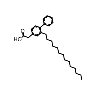 CCCCCCCCCCCCCCc1cc(CC(=O)O)ccc1-c1ccccc1